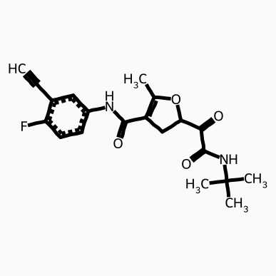 C#Cc1cc(NC(=O)C2=C(C)OC(C(=O)C(=O)NC(C)(C)C)C2)ccc1F